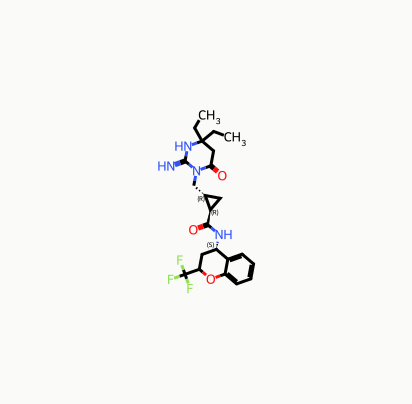 CCC1(CC)CC(=O)N(C[C@@H]2C[C@H]2C(=O)N[C@H]2CC(C(F)(F)F)Oc3ccccc32)C(=N)N1